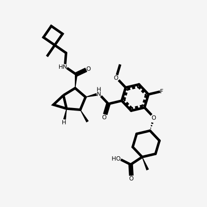 COc1cc(F)c(O[C@H]2CC[C@@](C)(C(=O)O)CC2)cc1C(=O)N[C@H]1[C@@H](C)[C@@H]2CC2[C@H]1C(=O)NCC1(C)CCC1